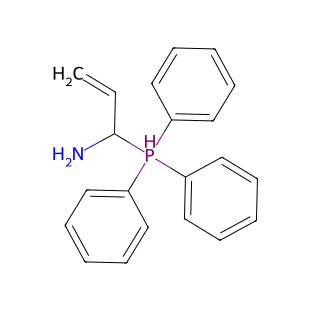 C=CC(N)[PH](c1ccccc1)(c1ccccc1)c1ccccc1